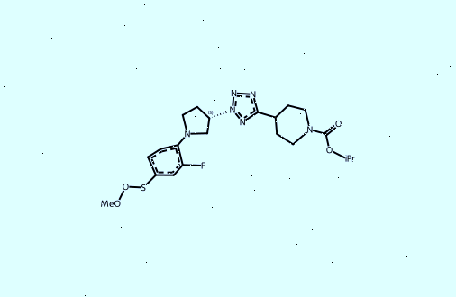 COOSc1ccc(N2CC[C@H](n3nnc(C4CCN(C(=O)OC(C)C)CC4)n3)C2)c(F)c1